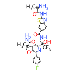 C[C@@H](N)C(=O)Nc1nc2ccc(C(=O)NC[C@](O)(c3cc4c(c(-c5ccc(F)cc5)n3)OC[C@]4(C)C(N)=O)C(F)(F)F)cc2s1